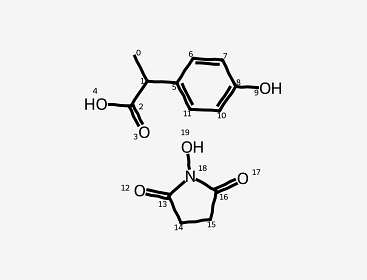 CC(C(=O)O)c1ccc(O)cc1.O=C1CCC(=O)N1O